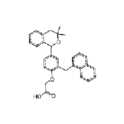 CC1(C)Cc2ccccc2C(c2ccc(OCC(=O)O)c(Cc3cccc4ccccc34)c2)O1